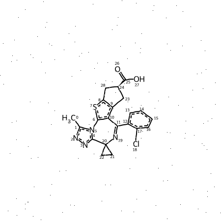 Cc1nnc2n1-c1sc3c(c1C(c1ccccc1Cl)=NC21CC1)C[C@H](C(=O)O)C3